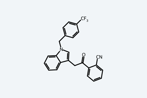 N#Cc1ccccc1C(=O)Cc1cn(Cc2ccc(C(F)(F)F)cc2)c2ccccc12